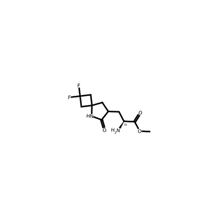 COC(=O)[C@@H](N)CC1CC2(CC(F)(F)C2)NC1=O